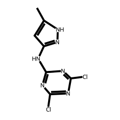 Cc1cc(Nc2nc(Cl)nc(Cl)n2)n[nH]1